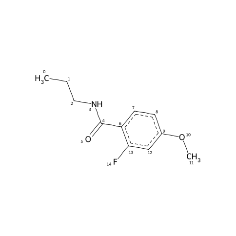 CCCNC(=O)c1ccc(OC)cc1F